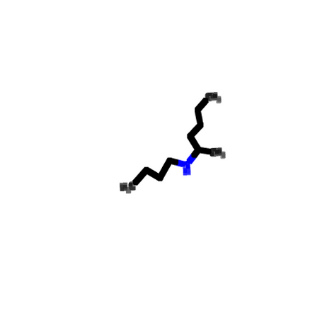 CCCCNC(C)CCCC